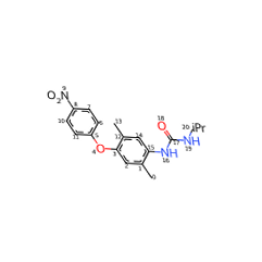 Cc1cc(Oc2ccc([N+](=O)[O-])cc2)c(C)cc1NC(=O)NC(C)C